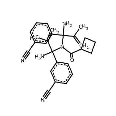 C=C(C)C(N)(c1cccc(C#N)c1)N(C(=O)C1CCC1)C(N)(C(=C)C)c1cccc(C#N)c1